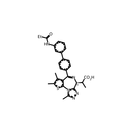 CCC(=O)Nc1cccc(-c2ccc(C3=N[C@@H](C(C)C(=O)O)c4nnc(C)n4-c4sc(C)c(C)c43)cc2)c1